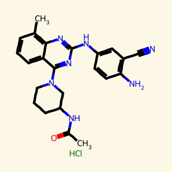 CC(=O)NC1CCCN(c2nc(Nc3ccc(N)c(C#N)c3)nc3c(C)cccc23)C1.Cl